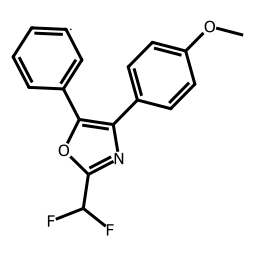 COc1ccc(-c2nc(C(F)F)oc2-c2c[c]ccc2)cc1